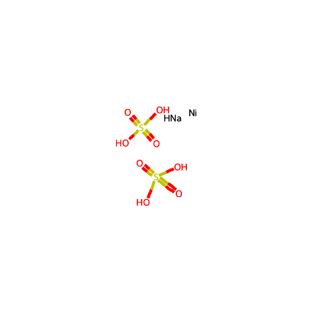 O=S(=O)(O)O.O=S(=O)(O)O.[NaH].[Ni]